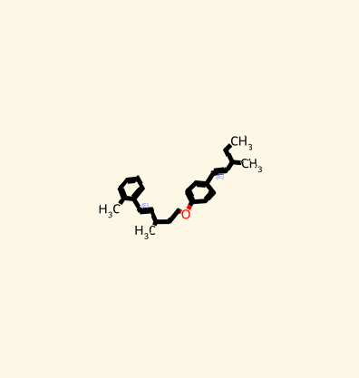 CCC(C)/C=C/c1ccc(OCCC(C)/C=C/c2ccccc2C)cc1